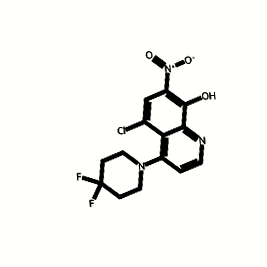 O=[N+]([O-])c1cc(Cl)c2c(N3CCC(F)(F)CC3)ccnc2c1O